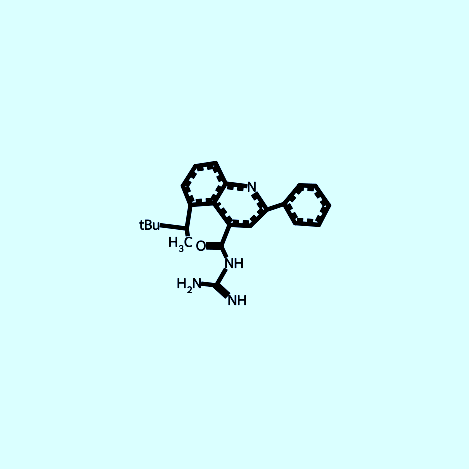 CC(c1cccc2nc(-c3ccccc3)cc(C(=O)NC(=N)N)c12)C(C)(C)C